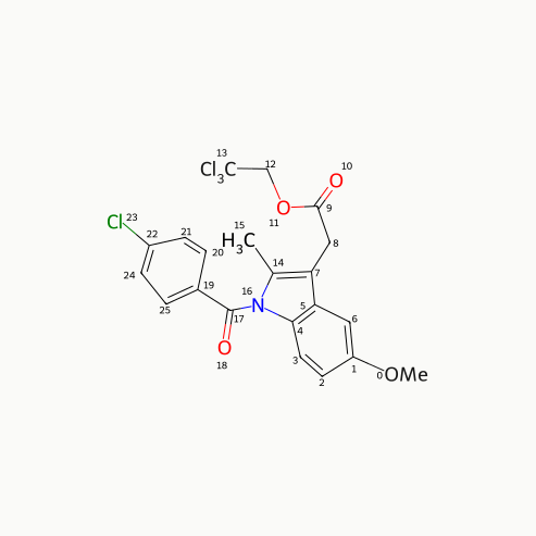 COc1ccc2c(c1)c(CC(=O)OCC(Cl)(Cl)Cl)c(C)n2C(=O)c1ccc(Cl)cc1